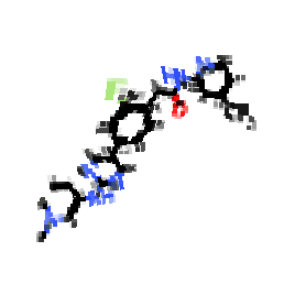 C=C/C(=C\N(C)C)Nc1ncc(-c2ccc(CC(=O)Nc3cc(C(F)(F)F)ccn3)c(F)c2)cn1